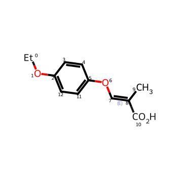 CCOc1ccc(O/C=C(\C)C(=O)O)cc1